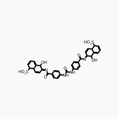 O=C(Nc1ccc(C(=O)N=C2C=CC3C(=CC=CC3S(=O)(=O)O)C2O)cc1)Nc1ccc(C(=O)N=C2C=CC3C(=CC=CC3S(=O)(=O)O)C2O)cc1